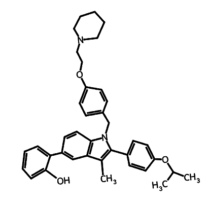 Cc1c(-c2ccc(OC(C)C)cc2)n(Cc2ccc(OCCN3CCCCC3)cc2)c2ccc(-c3ccccc3O)cc12